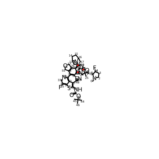 CN1CC[C@H](F)[C@H]1COc1nc(N2C3CCC2CN(C(=O)OC(C)(C)C)C3)c2c3c(c(-c4ncc(F)c5sc(NC(=O)OC(C)(C)C)c(C#N)c45)c(F)c2n1)COC3